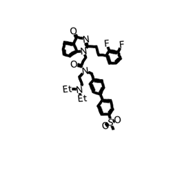 CCN(CC)CCN(Cc1ccc(-c2ccc(S(C)(=O)=O)cc2)cc1)C(=O)Cn1c(CCc2cccc(F)c2F)nc(=O)c2ccccc21